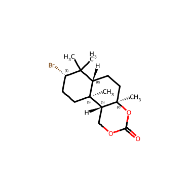 CC1(C)[C@@H](Br)CC[C@]2(C)[C@H]3COC(=O)O[C@]3(C)CC[C@@H]12